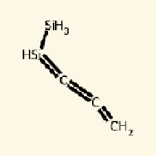 C=C=C=[SiH][SiH3]